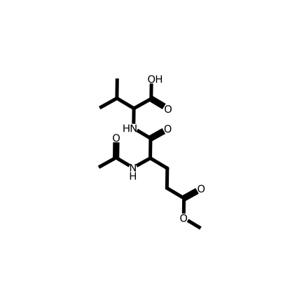 COC(=O)CCC(NC(C)=O)C(=O)NC(C(=O)O)C(C)C